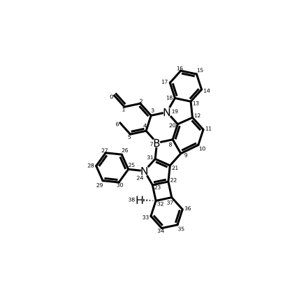 C=C/C=C1\C(=C/C)B2c3c(ccc4c5ccccc5n1c34)-c1c3c(n(-c4ccccc4)c12)[C@@H]1C=CC=CC31